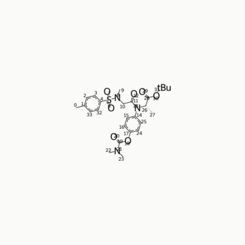 Cc1ccc(S(=O)(=O)N(C)CC(=O)N(c2ccc(OC(=O)N(C)C)cc2)[C@@H](C)C(=O)OC(C)(C)C)cc1